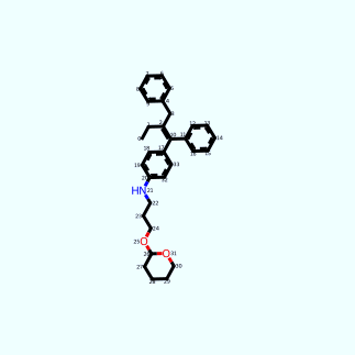 CCC(Cc1ccccc1)=C(c1ccccc1)c1ccc(NCCCOC2CCCCO2)cc1